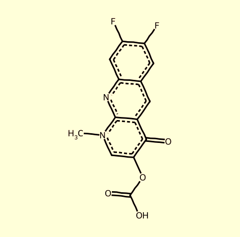 Cn1cc(OC(=O)O)c(=O)c2cc3cc(F)c(F)cc3nc21